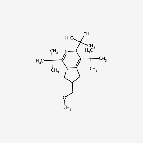 COCC1CC2=C(C(C)(C)C)C(C(C)(C)C)N=C(C(C)(C)C)N2C1